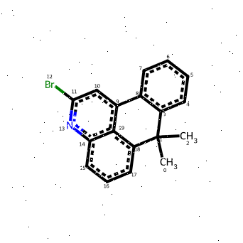 CC1(C)c2ccccc2-c2cc(Br)nc3cccc1c23